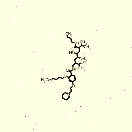 CCCCNC(=O)C(CC(O)C(N)CC(CNC(=O)c1ccc(OCCN2CCCCC2)cc1OCCCCOC)C(C)C)C(C)C